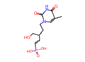 Cc1cn(CCC(C=CP(=O)(O)O)CO)c(=O)[nH]c1=O